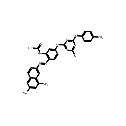 CC(=O)Nc1cc(Nc2nc(Cl)nc(Nc3ccc(C)cc3)n2)ccc1N=Nc1ccc2cc(C)cc(C)c2c1